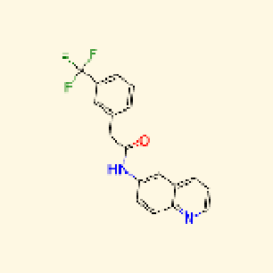 O=C(Cc1cccc(C(F)(F)F)c1)Nc1ccc2ncccc2c1